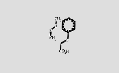 CSSC.O=C(O)COc1ccccc1